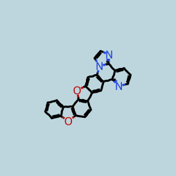 c1ccc2c(c1)oc1ccc3c4cc5c6ncccc6c6nccn6c5cc4oc3c12